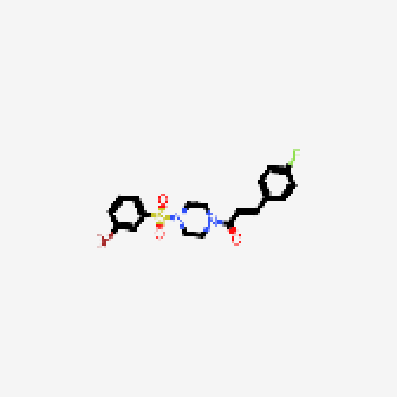 O=C(C=Cc1ccc(F)cc1)N1CCN(S(=O)(=O)c2cccc(Br)c2)CC1